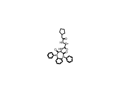 C[C@H](NC(=O)CC1CCCC1)C(=O)NC1C(=O)N(c2ccccc2)c2ccccc2N(c2ccccc2)C1=O